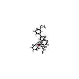 Cc1cc(-c2cc3c(N4CC5CCC(C4)N5C(=O)C4C[C@H]4F)ncnc3[nH]2)ccn1